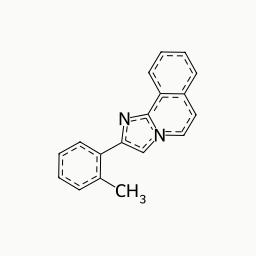 Cc1ccccc1-c1cn2ccc3ccccc3c2n1